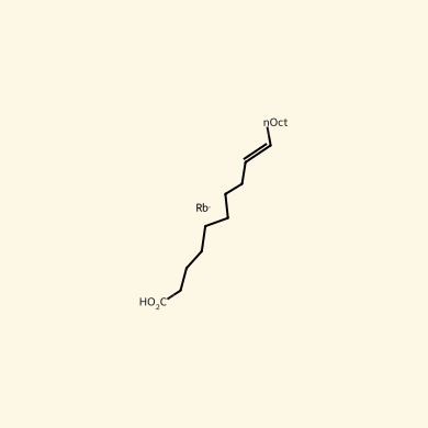 CCCCCCCCC=CCCCCCCCC(=O)O.[Rb]